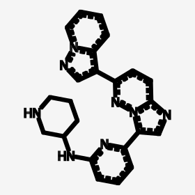 c1cc(NC2CCCNC2)nc(-c2cnc3ccc(-c4cnn5ccccc45)nn23)c1